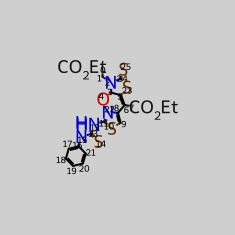 CCOC(=O)CN1C(=O)C(=C(C(=O)OCC)c2csc(NC(=S)Nc3ccccc3)n2)SC1=S